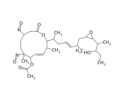 CCC(O)C(C)C1OC1CC(C)/C=C/CC(C)C1OC(=O)CC(N=O)CCC(C)(N=O)C(OC(C)=O)/C=C/C1C